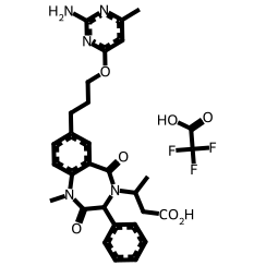 Cc1cc(OCCCc2ccc3c(c2)C(=O)N(C(C)CC(=O)O)C(c2ccccc2)C(=O)N3C)nc(N)n1.O=C(O)C(F)(F)F